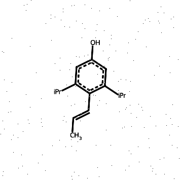 C/C=C/c1c(C(C)C)cc(O)cc1C(C)C